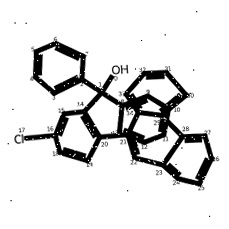 OC(c1ccccc1)(c1ccccc1)c1cc(Cl)ccc1-c1cc2ccccc2c2ccccc12